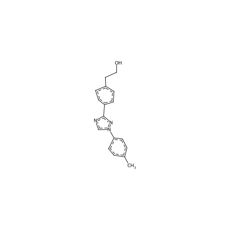 Cc1ccc(-n2cnc(-c3ccc(CCO)cc3)n2)cc1